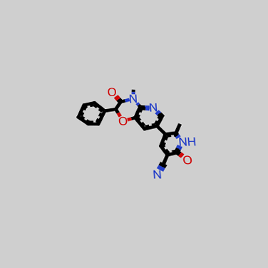 Cc1[nH]c(=O)c(C#N)cc1-c1cnc2c(c1)OC(c1ccccc1)C(=O)N2C